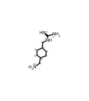 N=C(N)NCC1CCC(CN)CC1